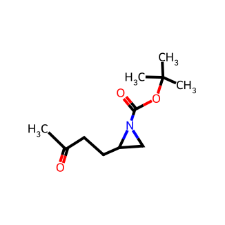 CC(=O)CCC1CN1C(=O)OC(C)(C)C